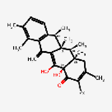 C=C1C2=C(O)[C@@]3(O)C(=O)C(C(C)=O)=C(C)C[C@@]3(C)[C@H](C)[C@@]2(C)[C@H](C)c2ccc(C)c(C)c21